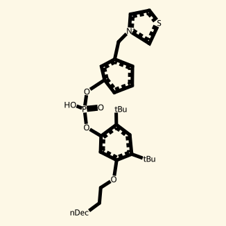 CCCCCCCCCCCCOc1cc(OP(=O)(O)Oc2cccc(C[n+]3ccsc3)c2)c(C(C)(C)C)cc1C(C)(C)C